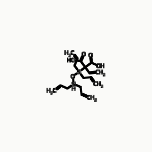 C=CC[SiH](CC=C)O[Si](CC=C)(CC=C)C(C=C)(C(=O)O)C(=O)O